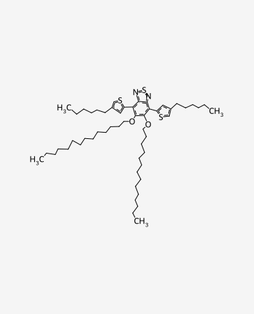 CCCCCCCCCCCCCCOc1c(OCCCCCCCCCCCCCC)c(-c2cc(CCCCCC)cs2)c2nsnc2c1-c1cc(CCCCCC)cs1